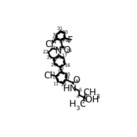 CC(C)(O)CCNC(=O)c1ccc(Cl)c(-c2ccc3c(c2)CCCN3C(=O)c2c(F)cccc2Cl)c1